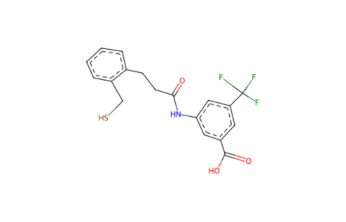 O=C(CCc1ccccc1CS)Nc1cc(C(=O)O)cc(C(F)(F)F)c1